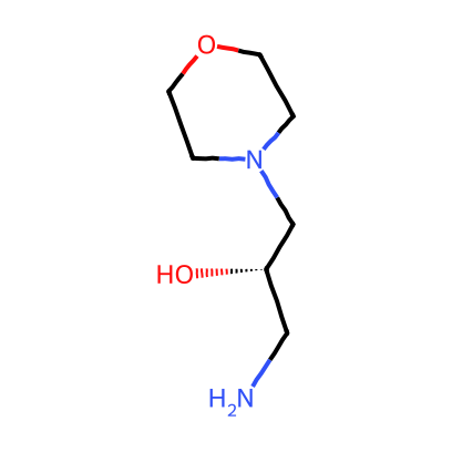 NC[C@H](O)CN1CCOCC1